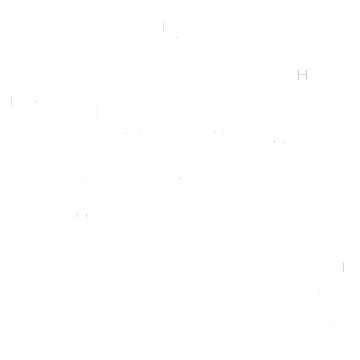 BP(I)CCC(=O)OCC(COC(=O)C=C)(COC(=O)C=C)COC(=O)CC(C(=O)O)P(B)I